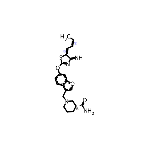 C/C=C\C=C1\SC(Oc2ccc3c(CN4CCC[C@@H](C(N)=O)C4)coc3c2)=NC1=N